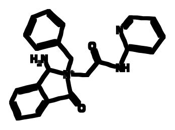 NC1c2ccccc2C(=O)[N+]1(CC(=O)Nc1ccccn1)Cc1ccccc1